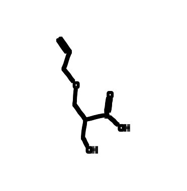 C=CCOCC(CO)S(=O)O